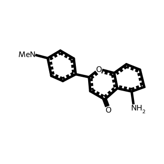 CNc1ccc(-c2cc(=O)c3c(N)cccc3o2)cc1